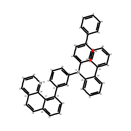 c1ccc(-c2ccc(N(c3cccc(-c4cccc5ccc6cccnc6c45)c3)c3ccccc3-c3ccccc3)cc2)cc1